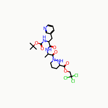 CC(NC(=O)C(Cc1cccnc1)NC(=O)OC(C)(C)C)C(=O)N1CCCC(C(=O)OCC(Cl)(Cl)Cl)N1